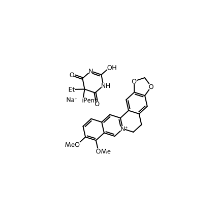 CCCC(C)C1(CC)C(=O)N=C(O)NC1=O.COc1ccc2cc3[n+](cc2c1OC)CCc1cc2c(cc1-3)OCO2.[Na+]